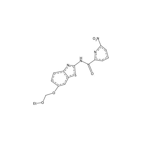 CCOCOc1ccc2nc(NC(=O)c3cccc([N+](=O)[O-])n3)sc2c1